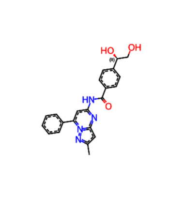 Cc1cc2nc(NC(=O)c3ccc([C@@H](O)CO)cc3)cc(-c3ccccc3)n2n1